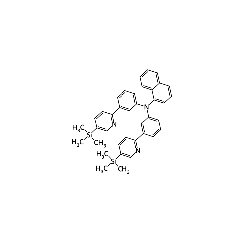 C[Si](C)(C)c1ccc(-c2cccc(N(c3cccc(-c4ccc([Si](C)(C)C)cn4)c3)c3cccc4ccccc34)c2)nc1